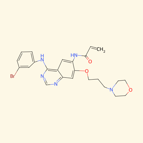 C=CC(=O)Nc1cc2c(Nc3cccc(Br)c3)ncnc2cc1OCCCN1CCOCC1